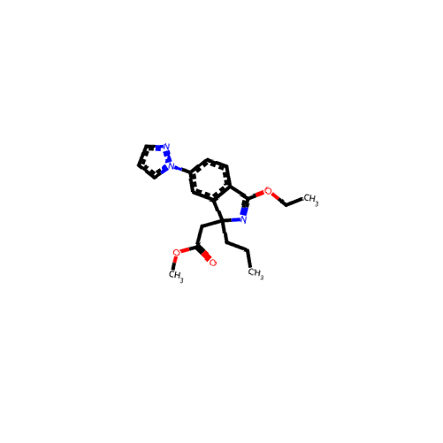 CCCC1(CC(=O)OC)N=C(OCC)c2ccc(-n3cccn3)cc21